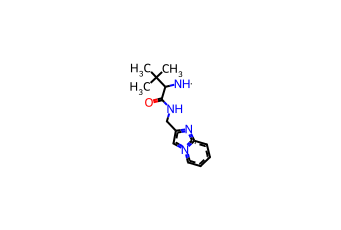 CC(C)(C)C([NH])C(=O)NCc1cn2ccccc2n1